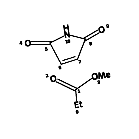 CCC(=O)OC.O=C1C=CC(=O)N1